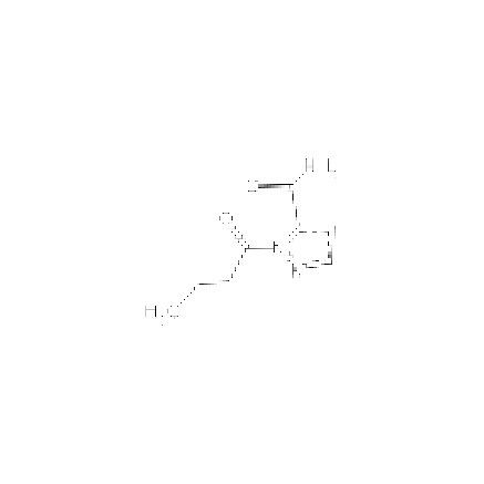 CCCC(=O)n1nccc1C(N)=O